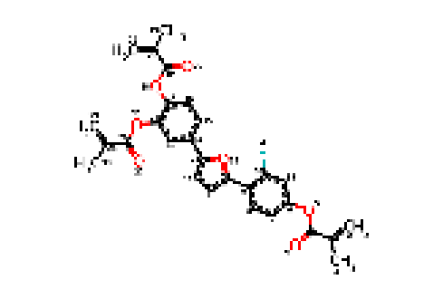 C=C(C)C(=O)Oc1ccc(-c2ccc(-c3ccc(OC(=O)C(=C)C)c(OC(=O)C(=C)C)c3)o2)c(F)c1